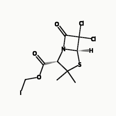 CC1(C)S[C@H]2N(C(=O)C2(Cl)Cl)[C@H]1C(=O)OCI